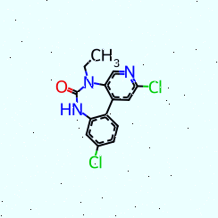 CCN1C(=O)Nc2cc(Cl)ccc2-c2cc(Cl)ncc21